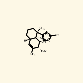 CCc1nc([C@@]2(C)CCC[C@H]3C=C(C)[C@@H](OC(C)=O)[C@H](O)[C@@]32O)cs1